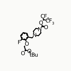 CC(C)(C)OC(=O)COc1c(F)cccc1CN1CCN(C(=O)OC(C(F)(F)F)C(F)(F)F)CC1